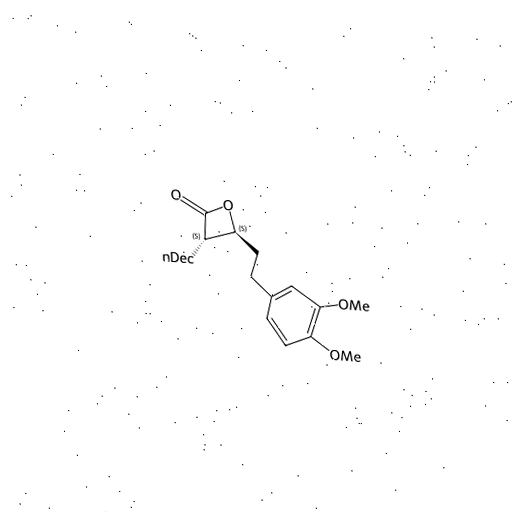 CCCCCCCCCC[C@@H]1C(=O)O[C@H]1CCc1ccc(OC)c(OC)c1